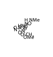 CNc1cccc(NC(=O)NC2N=C(c3ccccn3)c3ccccc3N(CC(=O)C(C)OC)C2=O)c1